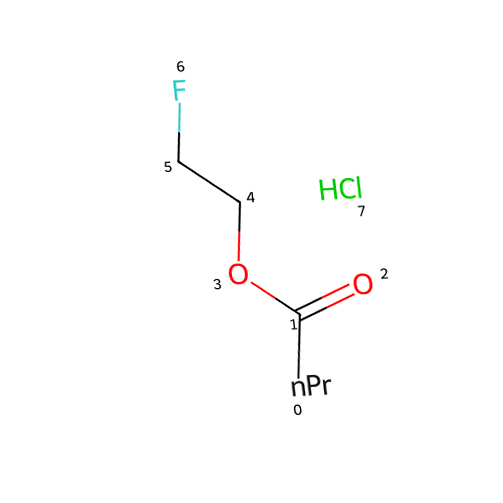 CCCC(=O)OCCF.Cl